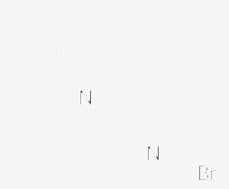 CC(C)(C)N1C=CN(Br)C1